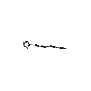 CC#CC#CC#CC#Cc1cccs1